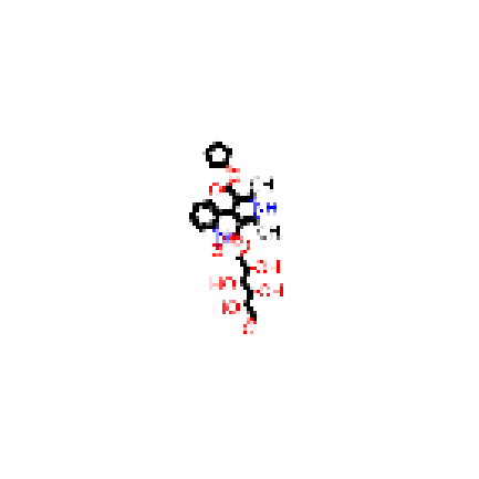 CC1=C(C(=O)OC[C@@H](O)[C@@H](O)[C@H](O)[C@@H](O)C=O)C(c2ccccc2[N+](=O)[O-])C(C(=O)OC2CCCC2)=C(C)N1